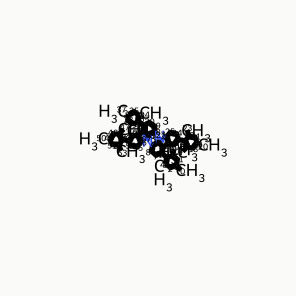 Cc1cc(C)c(C2=CC=C3C4C2c2cc(-c5c(C)cc(C)cc5C)ccc2N4c2ccc(-c4c(C)cc(C)cc4C)c4c5cc(-c6c(C)cc(C)cc6C)ccc5n3c24)c(C)c1